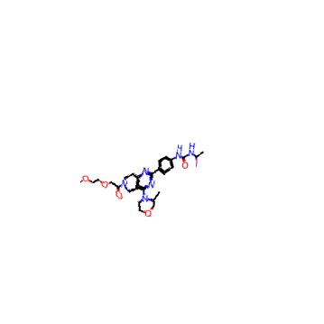 COCCOCC(=O)N1CCc2nc(-c3ccc(NC(=O)NC(C)I)cc3)nc(N3CCOCC3C)c2C1